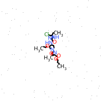 CCCCOC(=O)c1nc(N2CCC(NC(=O)c3nc(Cl)c(CC)[nH]3)C(OCCC)C2)oc1C